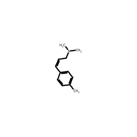 Cc1ccc(/C=C\CN(C)C)cc1